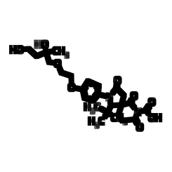 CC(O)(CCO)COCCOc1ccc(N2C(=O)CC3(CCC(=O)N(C(=O)O)C3=O)C2C(C)(C)C)cc1